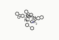 C=Cc1c2c3cc4ccccc4cc3n1-c1ccc3c(oc4ccccc43)c1C1=C(C)C(c3ccc4c(c3)oc3ccccc34)=N[C@@H](c3cccc(-c4ccccc4)c3)C1C/C=C\2